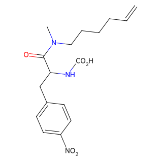 C=CCCCCN(C)C(=O)C(Cc1ccc([N+](=O)[O-])cc1)NC(=O)O